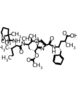 CC[C@H](C)[C@H](NC(=O)[C@@]1(C)CCCN1C)C(=O)N(C)[C@H](C[C@@H](OC(C)=O)c1nc(C(=O)N[C@@H](Cc2ccccc2)C[C@H](C)C(=O)O)cs1)C(C)C